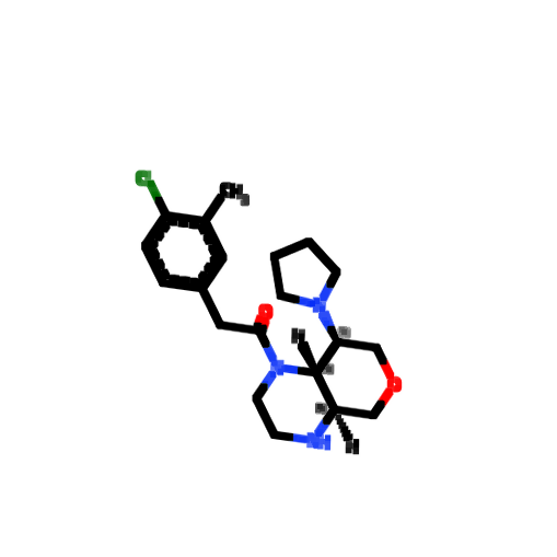 Cc1cc(CC(=O)N2CCN[C@@H]3COC[C@H](N4CCCC4)[C@H]32)ccc1Cl